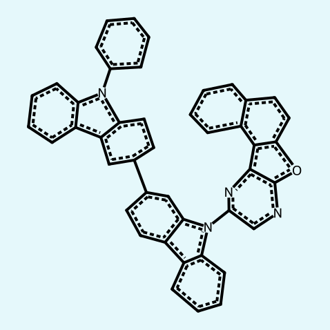 c1ccc(-n2c3ccccc3c3cc(-c4ccc5c6ccccc6n(-c6cnc7oc8ccc9ccccc9c8c7n6)c5c4)ccc32)cc1